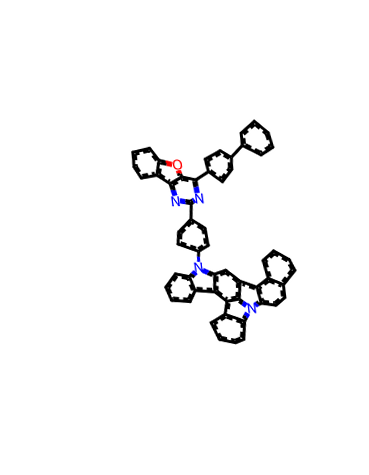 c1ccc(-c2ccc(-c3nc(-c4ccc(-n5c6ccccc6c6c7c8ccccc8n8c9ccc%10ccccc%10c9c(cc65)c78)cc4)nc4c3oc3ccccc34)cc2)cc1